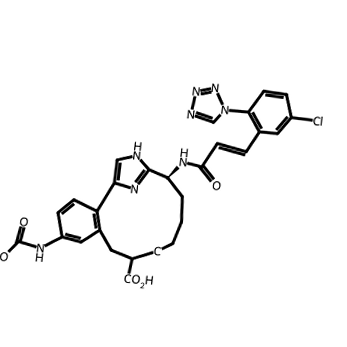 COC(=O)Nc1ccc2c(c1)CC(C(=O)O)CCCC[C@H](NC(=O)/C=C/c1cc(Cl)ccc1-n1cnnn1)c1nc-2c[nH]1